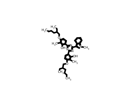 CCCCC(CC)COc1ccc(-c2nc(-c3ccc(OCC(CC)CCCC)c(C)c3O)nc(-c3cn(C)c4ccccc34)n2)c(O)c1C